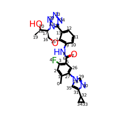 Cc1cc(F)c(C(=O)Nc2cccc3c2OC[C@@H]([C@@H](C)O)n2nnnc2-3)cc1-n1cnc(C2CC2)c1